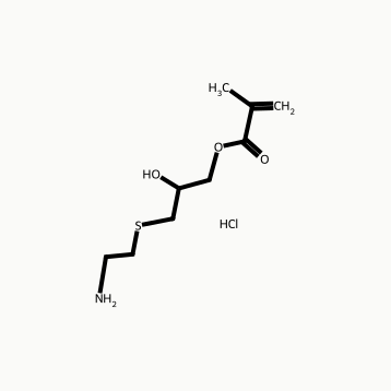 C=C(C)C(=O)OCC(O)CSCCN.Cl